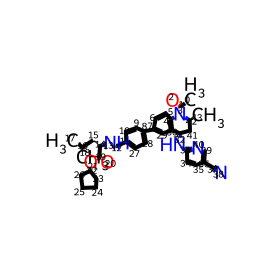 CC(=O)N1c2ccc(-c3ccc(CN[C@@H](CC(C)C)C(=O)OC4CCCC4)cc3)cc2[C@H](Nc2ccc(C#N)cn2)C[C@@H]1C